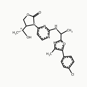 Cc1nc(C(C)Nc2nccc(N3C(=O)OCC3[C@@H](C)O)n2)oc1-c1ccc(Cl)cc1